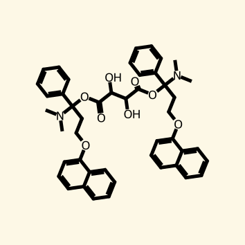 CN(C)C(CCOc1cccc2ccccc12)(OC(=O)C(O)C(O)C(=O)OC(CCOc1cccc2ccccc12)(c1ccccc1)N(C)C)c1ccccc1